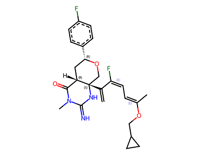 C=C(/C(F)=C\C=C(/C)OCC1CC1)[C@]12CO[C@@H](c3ccc(F)cc3)C[C@H]1C(=O)N(C)C(=N)N2